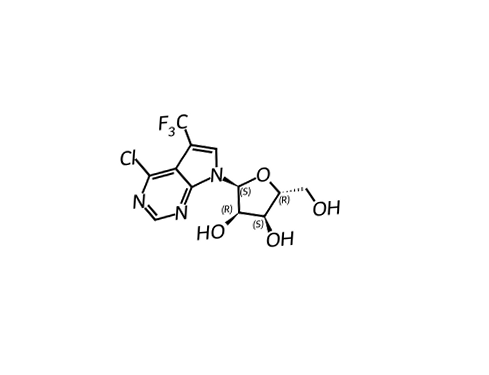 OC[C@H]1O[C@H](n2cc(C(F)(F)F)c3c(Cl)ncnc32)[C@H](O)[C@@H]1O